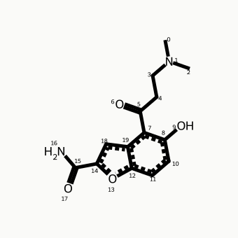 CN(C)CCC(=O)c1c(O)ccc2oc(C(N)=O)cc12